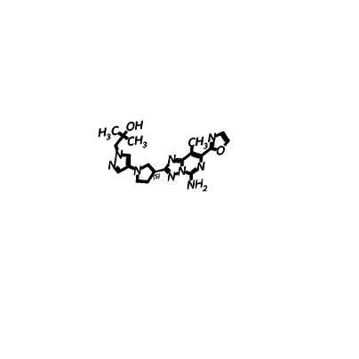 Cc1c(-c2ncco2)nc(N)n2nc([C@H]3CCN(c4cnn(CC(C)(C)O)c4)C3)nc12